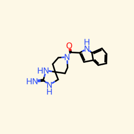 N=C1NCC2(CCN(C(=O)c3cc4ccccc4[nH]3)CC2)N1